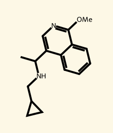 COc1ncc(C(C)NCC2CC2)c2ccccc12